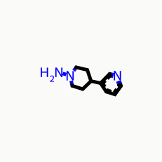 NN1CCC(c2cccnc2)CC1